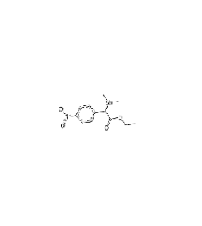 CCOC(=O)[CH](c1ccc([N+](=O)[O-])cc1)[Sb]([CH3])[CH3]